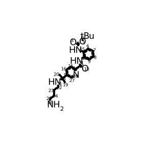 CC(C)(C)OC(=O)Nc1ccccc1NC(=O)c1ccc(C(C)(C)NCCCCN)cn1